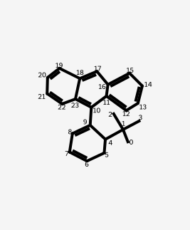 CC(C)(C)C1CC=CC=C1c1c2ccccc2cc2ccccc12